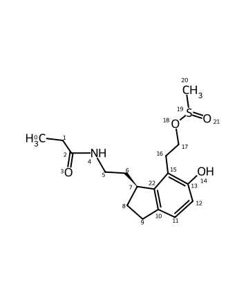 CCC(=O)NCC[C@@H]1CCc2ccc(O)c(CCOS(C)=O)c21